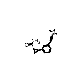 C[Si](C)(C)C#Cc1cccc(C2C[C@@H]2C(N)=O)c1